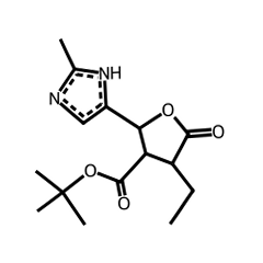 CCC1C(=O)OC(c2cnc(C)[nH]2)C1C(=O)OC(C)(C)C